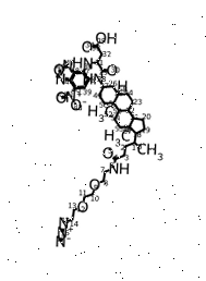 CC(CCC(=O)NCCOCCOCCN=[N+]=[N-])C1CCC2C3CC[C@@H]4C[C@H](NC(=O)C(CC(=O)O)Nc5ccc([N+](=O)[O-])c6nonc56)CC[C@]4(C)C3CC[C@]12C